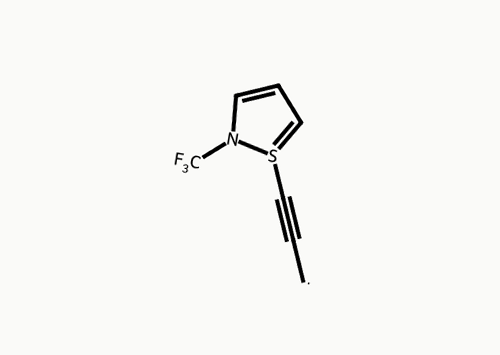 [CH2]C#CS1=CC=CN1C(F)(F)F